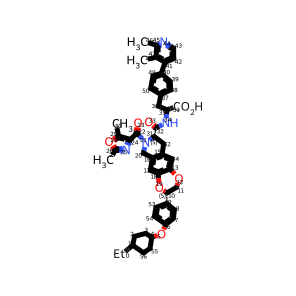 CCC1CCC(Oc2ccc([C@H]3COc4cc5c(cc4O3)CN(C(=O)c3nc(C)oc3C)[C@H](C(=O)NC(Cc3ccc(-c4ccnc(C)c4C)cc3)C(=O)O)C5)cc2)CC1